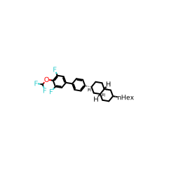 CCCCCCC1CC[C@@H]2C[C@H](c3ccc(-c4cc(F)c(OC(F)F)c(F)c4)cc3)CC[C@@H]2C1